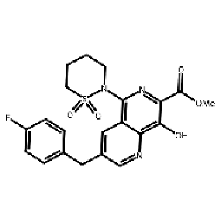 COC(=O)c1nc(N2CCCCS2(=O)=O)c2cc(Cc3ccc(F)cc3)cnc2c1O